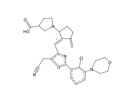 C=C1CCC(N2CCC(C(=O)O)C2)/C1=C/c1nc(-c2cccc(N3CCOCC3)c2Cl)oc1CC#N